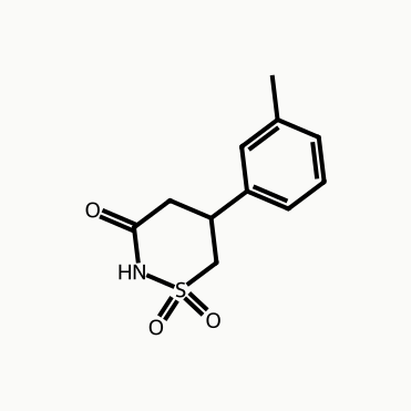 Cc1cccc(C2CC(=O)NS(=O)(=O)C2)c1